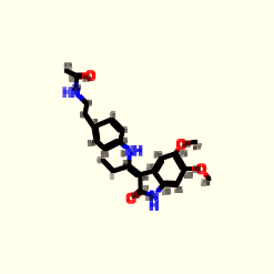 CCC(Nc1ccc(CCNC(C)=O)cc1)=C1C(=O)Nc2cc(OC)c(OC)cc21